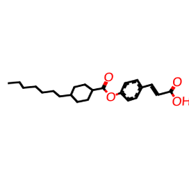 CCCCCCCC1CCC(C(=O)Oc2ccc(/C=C/C(=O)O)cc2)CC1